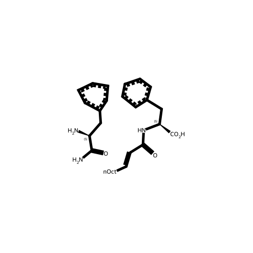 CCCCCCCCC=CC(=O)N[C@@H](Cc1ccccc1)C(=O)O.NC(=O)[C@@H](N)Cc1ccccc1